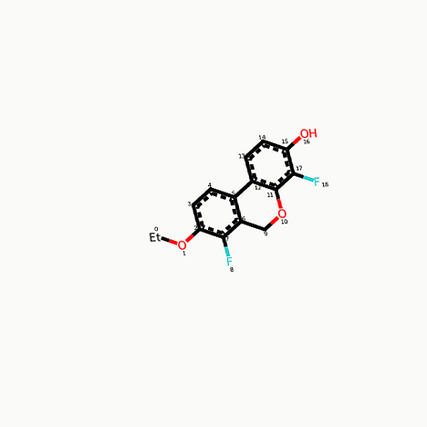 CCOc1ccc2c(c1F)COc1c-2ccc(O)c1F